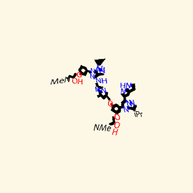 CNCC(O)COc1cc(OCc2cc(C)c3nc(CNc4nc(-c5cccc(OCC(O)CNC)c5)nc5c4cnn5C4CC4)cn3c2)cc(-c2cc(-c3cnc4[nH]ccc4c3)n3ncc(C(C)C)c3n2)c1